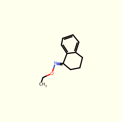 CCON=C1CCCc2ccccc21